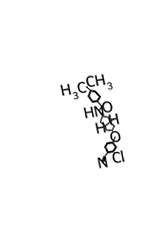 CC(C)c1ccc(C(=O)N[C@H]2C[C@@H]3C[C@H](Oc4ccc(C#N)c(Cl)c4)C[C@@H]3C2)cc1